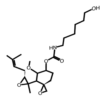 COC1C(OC(=O)NCCCCCCO)CC[C@]2(CO2)C1C1(C)O[C@@H]1CC=C(C)C